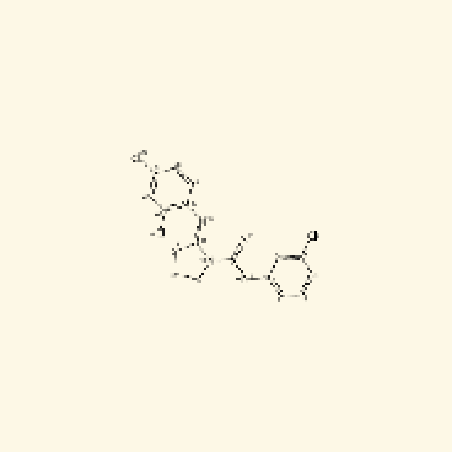 S=C(Nc1cccc(Cl)c1)N1CCSC1=Nc1ccc(Cl)cc1Cl